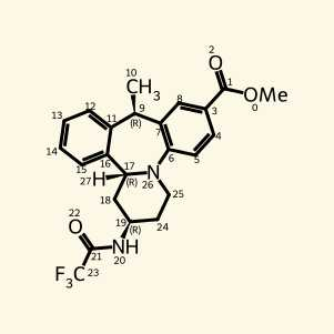 COC(=O)c1ccc2c(c1)[C@H](C)c1ccccc1[C@H]1C[C@H](NC(=O)C(F)(F)F)CCN21